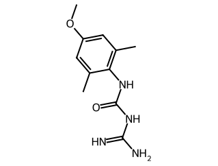 COc1cc(C)c(NC(=O)NC(=N)N)c(C)c1